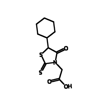 O=C(O)CN1C(=O)C(C2CCCCC2)SC1=S